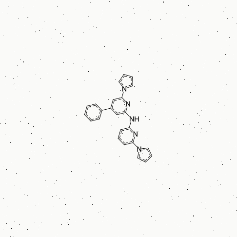 c1ccc(-c2cc(Nc3cccc(-n4cccc4)n3)nc(-n3cccc3)c2)cc1